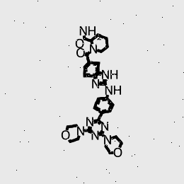 NC(=O)C1CCCCN1C(=O)c1ccc2nc(Nc3ccc(-c4nc(N5CCOCC5)nc(N5CCOCC5)n4)cc3)[nH]c2c1